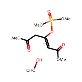 COC(=O)/C=C(/CC(=O)OC)OP(=O)(OC)OC.O=CO